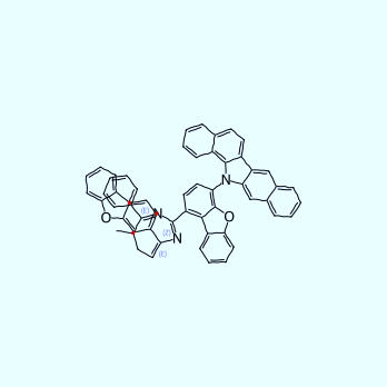 CC1C/C=C(c2ccc3c(c2)oc2ccccc23)/N=C(c2ccc(-n3c4cc5ccccc5cc4c4ccc5ccccc5c43)c3oc4ccccc4c23)\N=C/1c1ccccc1